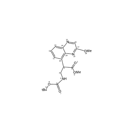 COC(=O)C(CNC(=O)OC(C)(C)C)c1cccc2ncc(OC)nc12